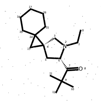 CCN1C[C@]2(C[C@H]1C(=O)C(C)(C)C)CC21CCCCC1